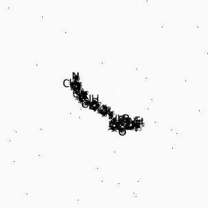 CC1(C)[C@H](NC(=O)c2ccc(N3CCN(CCNc4cccc5c4C(=O)N(C4CCC(C(F)(F)F)NC4=O)C5=O)CC3)cc2)C(C)(C)[C@H]1Oc1ccc(C#N)c(Cl)c1